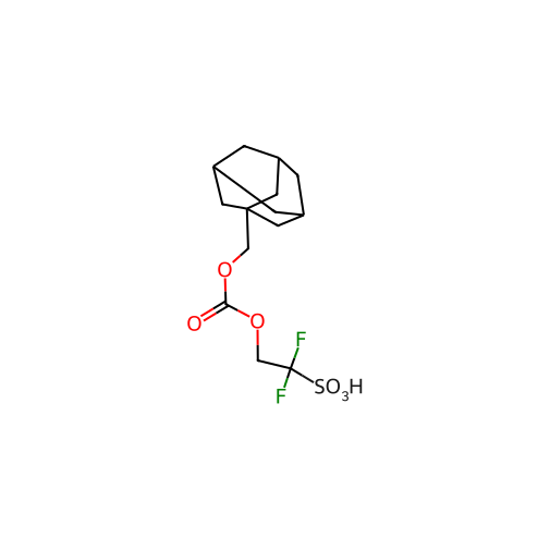 O=C(OCC12CC3CC(CC(C3)C1)C2)OCC(F)(F)S(=O)(=O)O